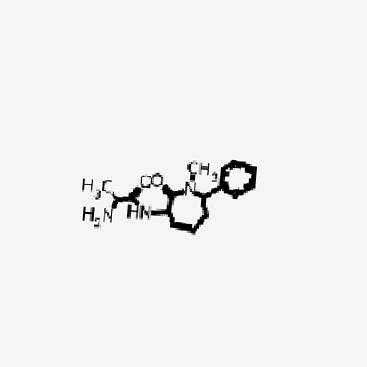 C[C@H](N)C(=O)NC1C=CCC(c2ccccc2)N(C)C1=O